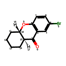 O=C1c2cc(Br)ccc2O[C@H]2CCCC[C@H]12